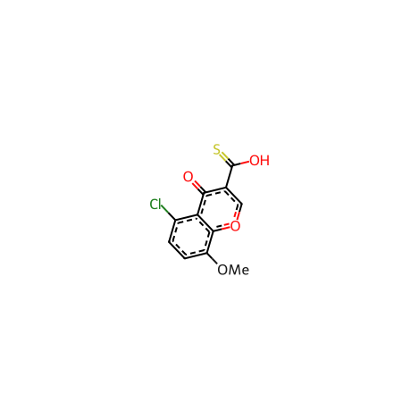 COc1ccc(Cl)c2c(=O)c(C(O)=S)coc12